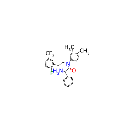 Cc1ccc(N(CCc2cc(C(F)(F)F)ccc2F)C(=O)C(N)c2ccccc2)cc1C